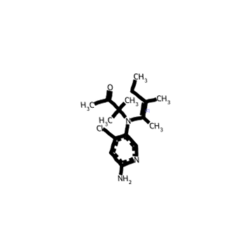 CC/C(C)=C(/C)N(c1cnc(N)cc1Cl)C(C)(C)C(C)=O